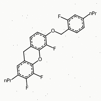 CCCc1ccc(COc2ccc3c(c2F)Oc2c(cc(CCC)c(F)c2F)C3)c(F)c1